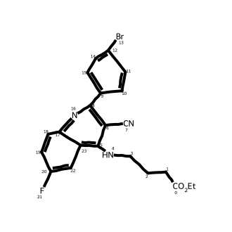 CCOC(=O)CCCNc1c(C#N)c(-c2ccc(Br)cc2)nc2ccc(F)cc12